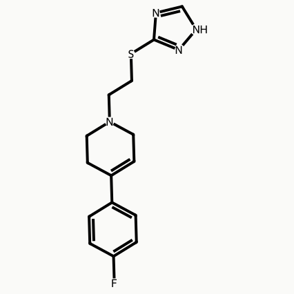 Fc1ccc(C2=CCN(CCSc3nc[nH]n3)CC2)cc1